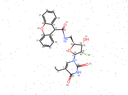 CCc1cn([C@H]2O[C@@H](CNC(=O)C3c4ccccc4Oc4ccccc43)[C@H](O)[C@H]2F)c(=O)[nH]c1=O